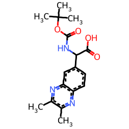 Cc1nc2ccc(C(NC(=O)OC(C)(C)C)C(=O)O)cc2nc1C